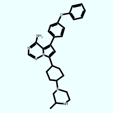 CC1CN(C2CCC(c3cc(-c4ccc(Oc5ccccc5)cc4)c4c(N)ncnn34)CC2)CCN1